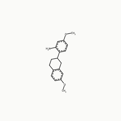 COc1ccc(C2CCc3ccc(OC)cc3C2)c(N)c1